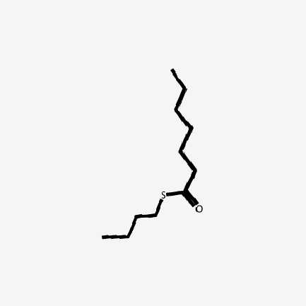 CCCCCCC(=O)SCCCC